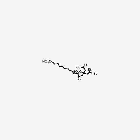 CCCCC(CC)CC(CC(CC)CCCC)(CC(CC)CCCCCCCCCCCC(=O)O)C(=O)O